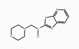 [O-][S+](CN1CCOCC1)c1nc2cccnc2s1